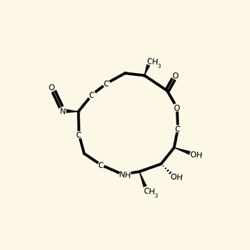 C[C@@H]1CCC[C@H](N=O)CCCN[C@H](C)[C@@H](O)[C@H](O)COC1=O